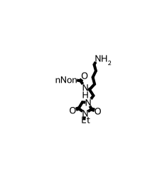 CCCCCCCCCC(=O)NC(CCCCN)CN1CC(=O)N(CC)C1=O